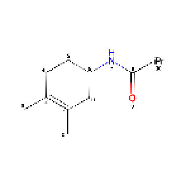 CC1=C(C)CCC(NC(=O)C(C)C)=C1